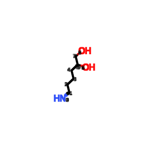 N=CCCC[C@H](O)CO